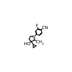 C[C@@H]1N(c2ccc(C#N)c(F)c2)CC[C@@]1(O)C1CC1